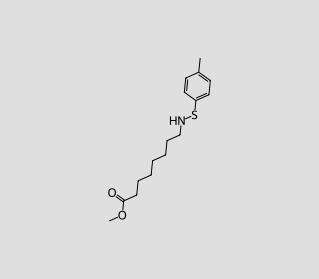 COC(=O)CCCCCCCNSc1ccc(C)cc1